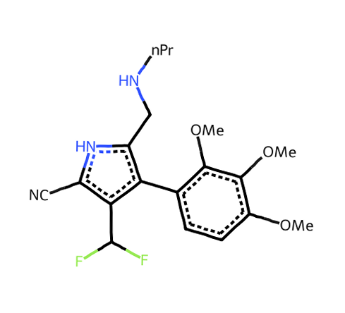 CCCNCc1[nH]c(C#N)c(C(F)F)c1-c1ccc(OC)c(OC)c1OC